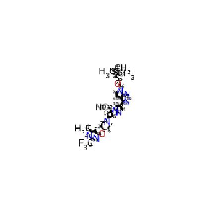 Cc1cc(OC2CCN([C@H]3C[C@](CC#N)(n4cc(-c5ncnc6c5ccn6COCC[Si](C)(C)C)cn4)C3)CC2)nc(C(F)(F)F)n1